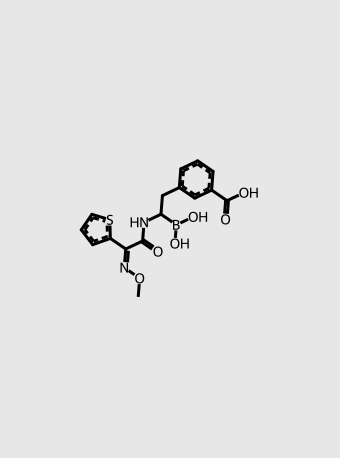 CO/N=C(\C(=O)NC(Cc1cccc(C(=O)O)c1)B(O)O)c1cccs1